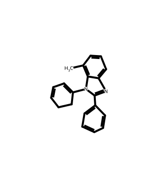 Cc1cccc2nc(-c3ccccc3)n(C3=CC=CCC3)c12